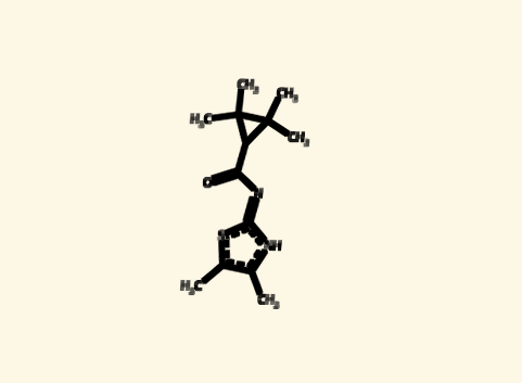 Cc1[nH]/c(=N/C(=O)C2C(C)(C)C2(C)C)sc1C